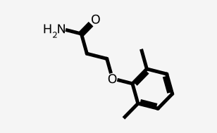 Cc1cccc(C)c1OCCC(N)=O